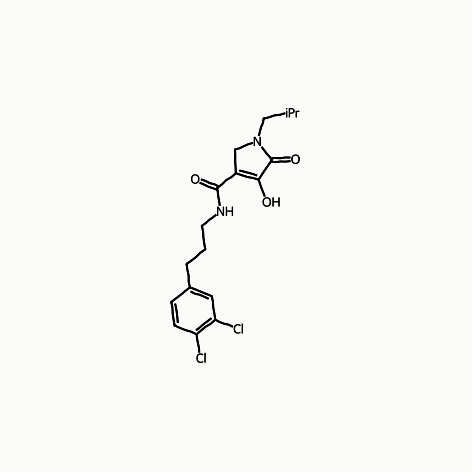 CC(C)CN1CC(C(=O)NCCCc2ccc(Cl)c(Cl)c2)=C(O)C1=O